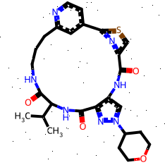 CC(C)C1NC(=O)c2nn(C3CCOCC3)cc2NC(=O)c2csc(n2)-c2ccnc(c2)CCCNC1=O